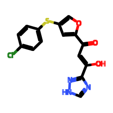 O=C(C=C(O)c1nc[nH]n1)c1cc(Sc2ccc(Cl)cc2)co1